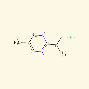 Cc1cnc(C(C)CF)nc1